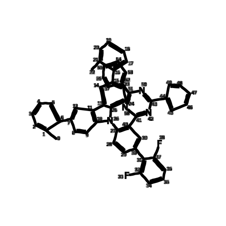 Cc1ccccc1-c1ccc2c(c1)c1cc(-c3ccccc3C)ccc1n2-c1ccc(-c2c(F)cccc2F)cc1-c1nc(-c2ccccc2)nc(-c2ccccc2)n1